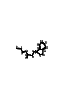 C=CC=CC(=C)CCN1CCc2ccccc21